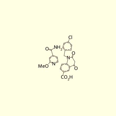 COc1cc(C(N)=O)ccn1.O=C(O)c1ccc2c(c1)C(=O)CC(=O)N2Cc1ccc(Cl)cc1